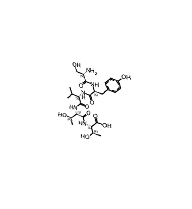 CC(C)[C@H](NC(=O)[C@H](Cc1ccc(O)cc1)NC(=O)[C@@H](N)CO)C(=O)N[C@H](C(=O)N[C@H](C(=O)O)[C@@H](C)O)[C@@H](C)O